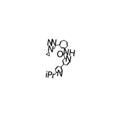 CC(C)c1ccc(-c2ccnc(C(=O)NC3=CC(C4=NN=CN(C5CC5)C4)=CCC=C3)c2)cn1